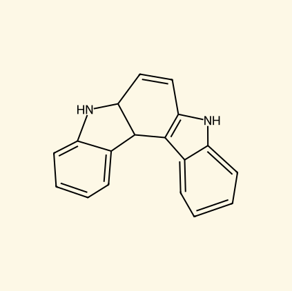 C1=CC2Nc3ccccc3C2c2c1[nH]c1ccccc21